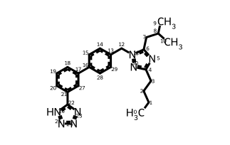 CCCCc1nc(CC(C)C)n(Cc2ccc(-c3cccc(-c4nnn[nH]4)c3)cc2)n1